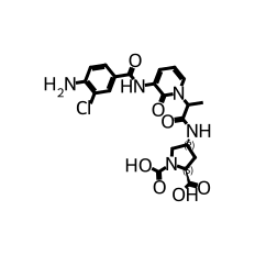 CC(C(=O)N[C@@H]1C[C@@H](C(=O)O)N(C(=O)O)C1)n1cccc(NC(=O)c2ccc(N)c(Cl)c2)c1=O